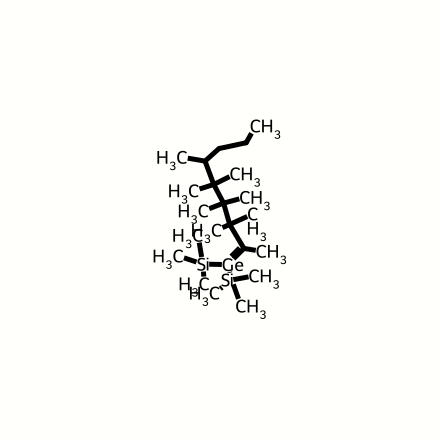 CCCC(C)C(C)(C)C(C)(C)C(C)(C)[C](C)=[Ge]([Si](C)(C)C)[Si](C)(C)C